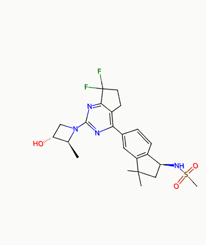 C[C@H]1[C@H](O)CN1c1nc(-c2ccc3c(c2)C(C)(C)C[C@@H]3NS(C)(=O)=O)c2c(n1)C(F)(F)CC2